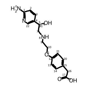 Nc1ccc([C@@H](O)CNCCOc2ccc(CC(=O)O)cc2)cn1